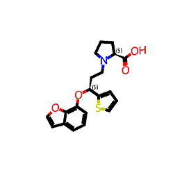 O=C(O)[C@@H]1CCCN1CC[C@H](Oc1cccc2ccoc12)c1cccs1